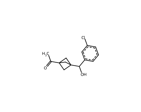 CC(=O)C12CC(C(O)c3cccc(Cl)c3)(C1)C2